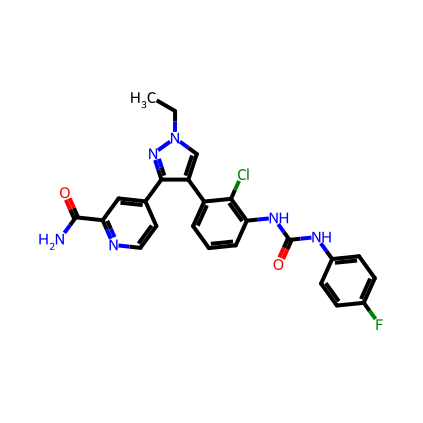 CCn1cc(-c2cccc(NC(=O)Nc3ccc(F)cc3)c2Cl)c(-c2ccnc(C(N)=O)c2)n1